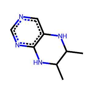 CC1Nc2cncnc2NC1C